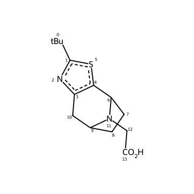 CC(C)(C)c1nc2c(s1)C1CCC(C2)N1CC(=O)O